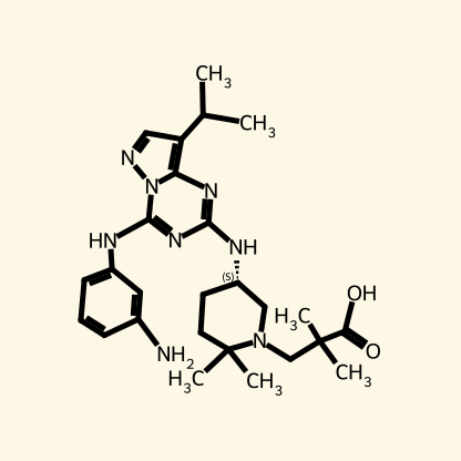 CC(C)c1cnn2c(Nc3cccc(N)c3)nc(N[C@H]3CCC(C)(C)N(CC(C)(C)C(=O)O)C3)nc12